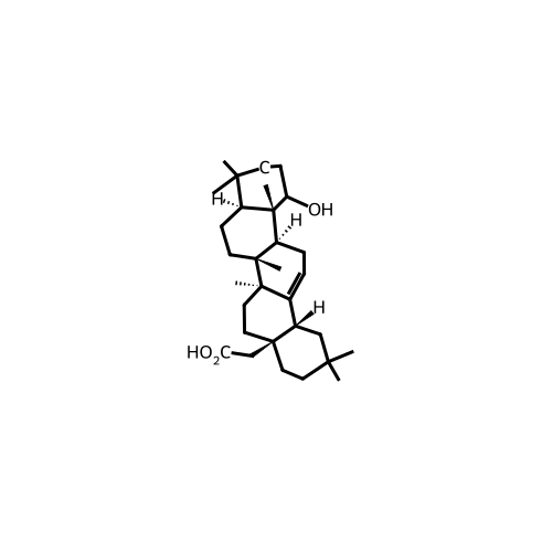 CC1(C)CC[C@]2(CC(=O)O)CC[C@]3(C)C(=CC[C@@H]4[C@@]5(C)C(O)CCC(C)(C)[C@@H]5CC[C@]43C)[C@@H]2C1